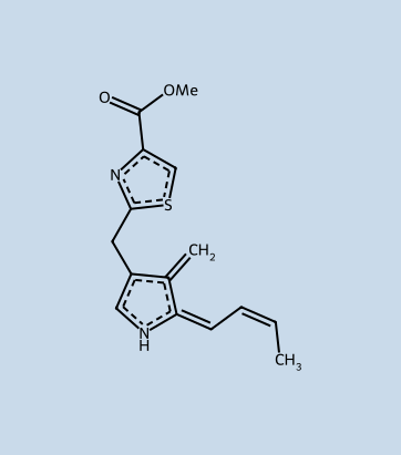 C=c1c(Cc2nc(C(=O)OC)cs2)c[nH]/c1=C/C=C\C